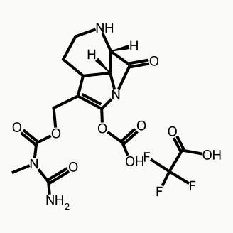 CN(C(N)=O)C(=O)OCC1=C(OC(=O)O)N2C(=O)[C@H]3NCCC1[C@H]32.O=C(O)C(F)(F)F